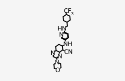 N#CC1C(Nc2ccc(NCC3CCC(C(F)(F)F)CC3)nc2)CCC2N=CC(N3CCOCC3)=NC21